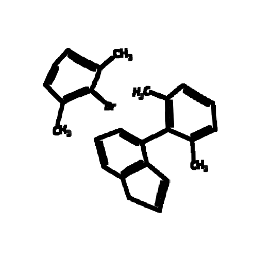 Cc1cccc(C)c1-c1cccc2c1C=CC2.Cc1cccc(C)c1Br